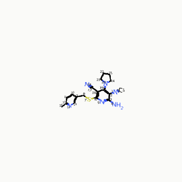 [C-]#[N+]c1c(N)nc(SCc2ccc(C)nc2)c(C#N)c1N1CCCC1